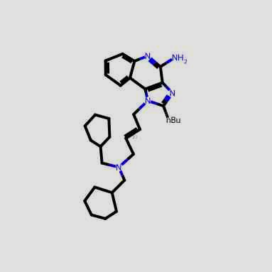 CCCCc1nc2c(N)nc3ccccc3c2n1C/C=C/CN(CC1CCCCC1)CC1CCCCC1